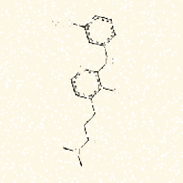 COc1cccc(Nc2nccc(CCCN(C)C)c2N)c1